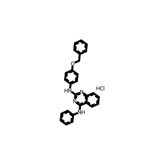 Cl.c1ccc(COc2ccc(Nc3nc(Nc4ccccc4)c4ccccc4n3)cc2)cc1